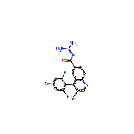 Cc1cnc2ccc(C(=O)N=C(N)N)cc2c1-c1c(F)cc(F)cc1F